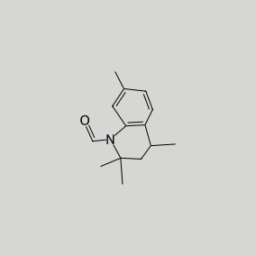 Cc1ccc2c(c1)N(C=O)C(C)(C)CC2C